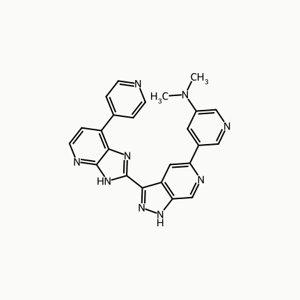 CN(C)c1cncc(-c2cc3c(-c4nc5c(-c6ccncc6)ccnc5[nH]4)n[nH]c3cn2)c1